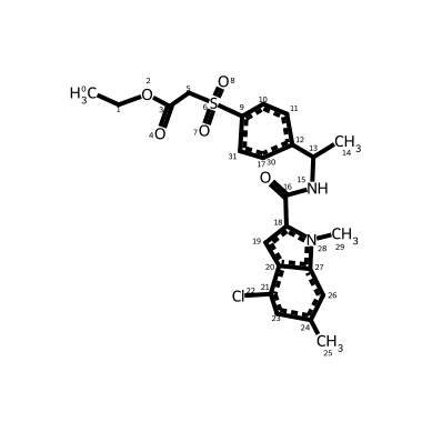 CCOC(=O)CS(=O)(=O)c1ccc(C(C)NC(=O)c2cc3c(Cl)cc(C)cc3n2C)cc1